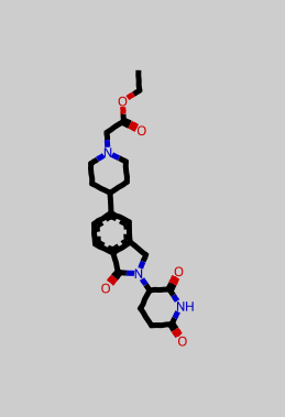 CCOC(=O)CN1CCC(c2ccc3c(c2)CN(C2CCC(=O)NC2=O)C3=O)CC1